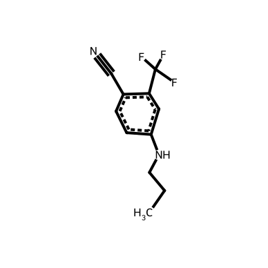 CCCNc1ccc(C#N)c(C(F)(F)F)c1